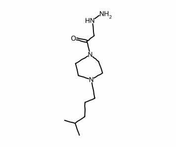 CC(C)CCCN1CCN(C(=O)CNN)CC1